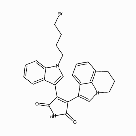 O=C1NC(=O)C(c2cn3c4c(cccc24)CCC3)=C1c1cn(CCCCBr)c2ccccc12